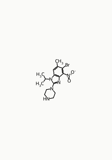 Cc1cc2c(nc(N3CCNCC3)n2C(C)C)c([N+](=O)[O-])c1Br